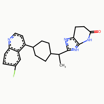 CC(c1nc2c([nH]1)NC(=O)CC2)C1CCC(c2ccnc3ccc(F)cc23)CC1